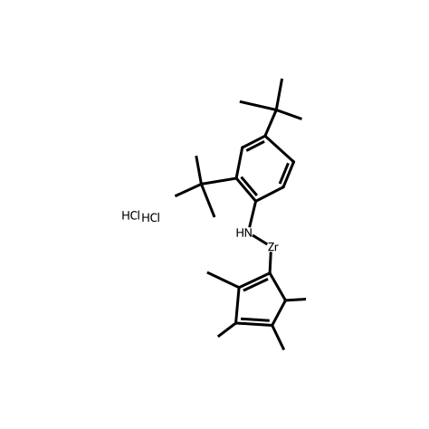 CC1=C(C)C(C)[C]([Zr][NH]c2ccc(C(C)(C)C)cc2C(C)(C)C)=C1C.Cl.Cl